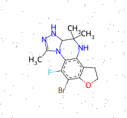 CC1=NNC2N1c1c(F)c(Br)c3c(c1NC2(C)C)CCO3